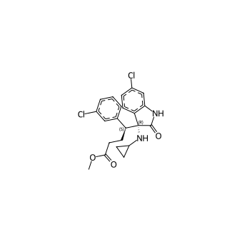 COC(=O)CC[C@@H](c1cccc(Cl)c1)[C@]1(NC2CC2)C(=O)Nc2cc(Cl)ccc21